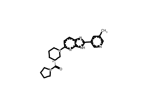 Cc1cncc(-c2nc3ccc(N4CCC[C@@H](C(=O)N5CCCC5)C4)nc3[nH]2)c1